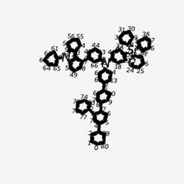 c1ccc(-c2ccc(-c3ccc(-c4ccc(N(c5ccc([Si](c6ccccc6)(c6ccccc6)c6ccccc6)cc5)c5cccc(-c6cccc7c6c6ccccc6n7-c6ccccc6)c5)cc4)cc3)c(-c3ccccc3)c2)cc1